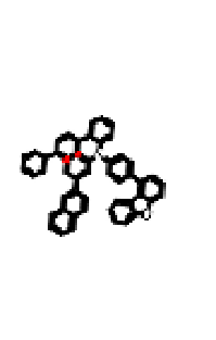 c1ccc(-c2ccc(-c3ccccc3N(c3ccc(-c4cccc5oc6ccccc6c45)cc3)c3cccc(-c4ccc5ccccc5c4)c3)cc2)cc1